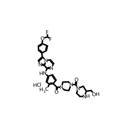 Cc1cc(Nc2nccn3c(-c4ccc(OC(F)F)cc4)cnc23)ccc1C(=O)N1CCN(C(=O)N2CCNC(CO)C2)CC1.Cl